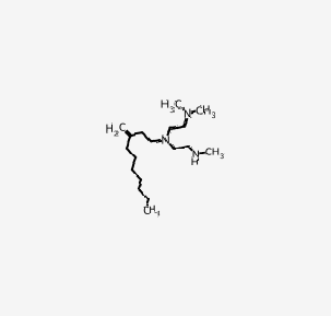 C=C(CCCCCCC)CCN(CCNC)CCN(C)C